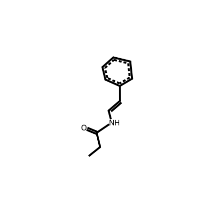 CCC(=O)NC=Cc1ccccc1